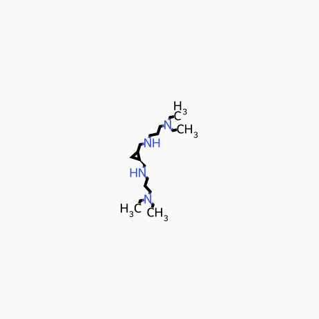 CCN(CC)CCCNCC1C[C@@H]1CNCCCN(CC)CC